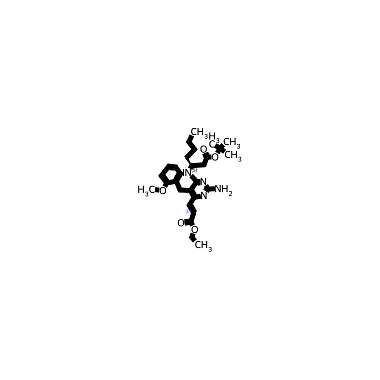 CCCC[C@@H](CC(=O)OC(C)(C)C)Nc1nc(N)nc(/C=C/C(=O)OCC)c1Cc1ccccc1OC